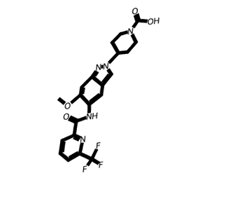 COc1cc2nn(C3CCN(C(=O)O)CC3)cc2cc1NC(=O)c1cccc(C(F)(F)F)n1